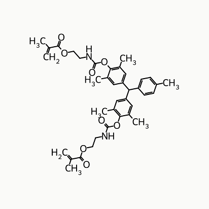 C=C(C)C(=O)OCCNC(=O)Oc1c(C)cc(C(c2ccc(C)cc2)c2cc(C)c(OC(=O)NCCOC(=O)C(=C)C)c(C)c2)cc1C